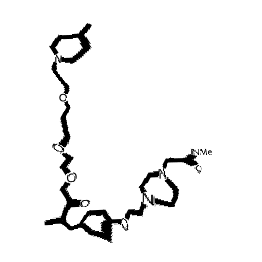 CNC(=O)CN1CCN(CCOc2ccc(CC(C)C(=O)COCCOCCCOCCN3CCC(C)CC3)cc2)CC1